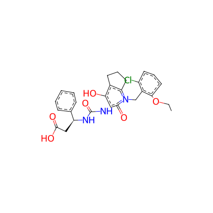 CCOc1cccc(Cl)c1Cn1c2c(c(O)c(NC(=O)N[C@@H](CC(=O)O)c3ccccc3)c1=O)CCC2